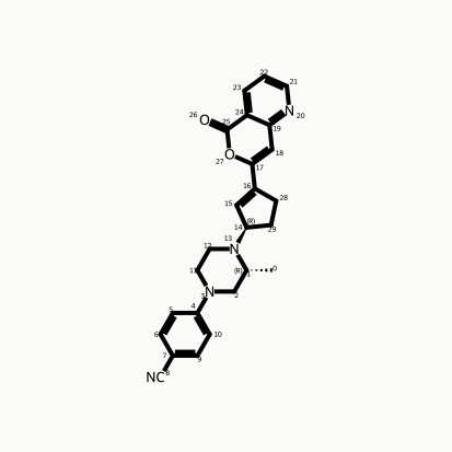 C[C@@H]1CN(c2ccc(C#N)cc2)CCN1[C@H]1C=C(c2cc3ncccc3c(=O)o2)CC1